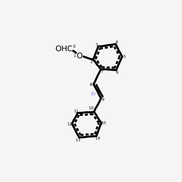 O=COc1ccccc1/C=C/c1ccccc1